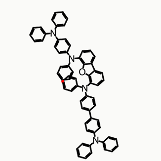 c1ccc(N(c2ccccc2)c2ccc(-c3ccc(N(c4ccccc4)c4cccc5c4oc4c(N(c6ccccc6)c6ccc(N(c7ccccc7)c7ccccc7)cc6)cccc45)cc3)cc2)cc1